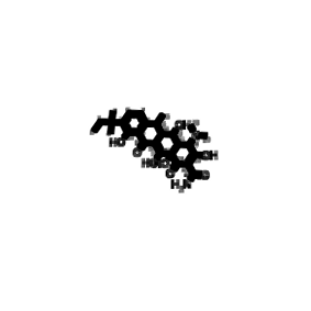 CCC(C)(C)c1ccc2c(c1O)C(=O)C1=C(O)C3(O)C(=O)C(C(N)=O)=C(O)C(N(C)C)C3C(O)C1C2C